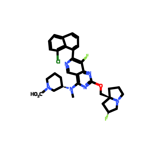 CN(c1nc(OC[C@@]23CCCN2C[C@H](F)C3)nc2c(F)c(-c3cccc4cccc(Cl)c34)ncc12)[C@H]1CCCN(C(=O)O)C1